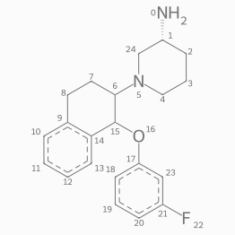 N[C@@H]1CCCN(C2CCc3ccccc3C2Oc2cccc(F)c2)C1